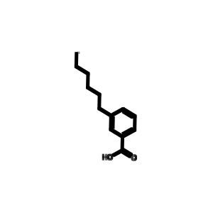 [CH2]CCCCCc1cccc(C(=O)O)c1